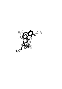 CCCC(C)(O)[C@H]1C[C@@]23CC[C@@]1(OC)[C@@H]1Oc4c(OC)ccc5c4[C@@]12CCN(C)[C@@H]3CC5